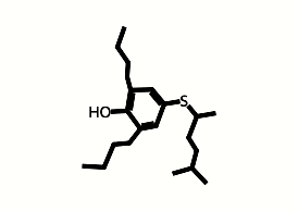 CCCCc1cc(SC(C)CCC(C)C)cc(CCCC)c1O